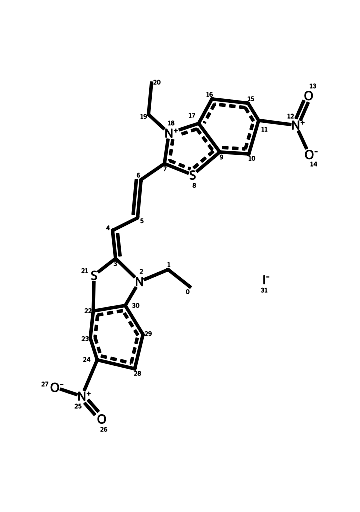 CCN1C(=CC=Cc2sc3cc([N+](=O)[O-])ccc3[n+]2CC)Sc2cc([N+](=O)[O-])ccc21.[I-]